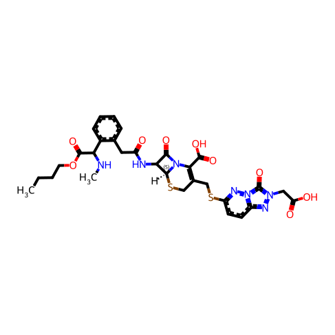 CCCCOC(=O)C(NC)c1ccccc1CC(=O)NC1C(=O)N2C(C(=O)O)=C(CSc3ccc4nn(CC(=O)O)c(=O)n4n3)CS[C@@H]12